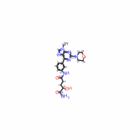 CC(C)n1cnc2c(-c3cccc(NC(=O)CCC(O)C(N)=O)c3)nc(N3CCOCC3)nc21